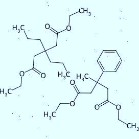 CCCC(CCC)(CC(=O)OCC)CC(=O)OCC.CCOC(=O)CC(C)(CC(=O)OCC)c1ccccc1